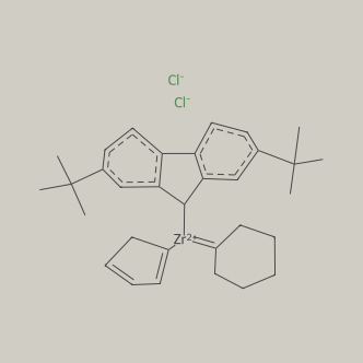 CC(C)(C)c1ccc2c(c1)[CH]([Zr+2]([C]1=CC=CC1)=[C]1CCCCC1)c1cc(C(C)(C)C)ccc1-2.[Cl-].[Cl-]